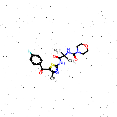 CC(C)(NC(=O)N1CCOCC1)C(=O)Nc1nc(C(F)(F)F)c(C(=O)c2ccc(F)cc2)s1